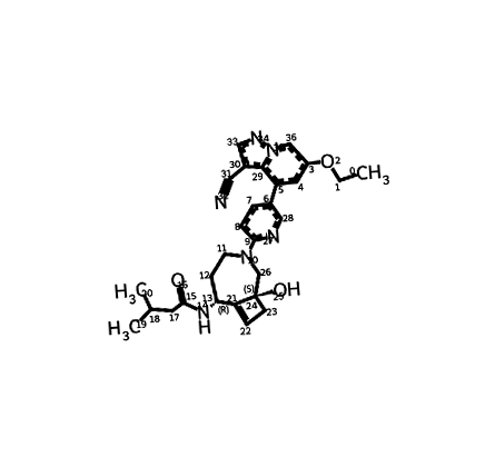 CCOc1cc(-c2ccc(N3CC[C@@H](NC(=O)CC(C)C)C4=CC[C@@]4(O)C3)nc2)c2c(C#N)cnn2c1